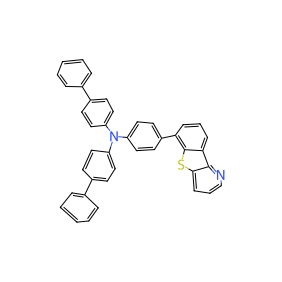 c1ccc(-c2ccc(N(c3ccc(-c4ccccc4)cc3)c3ccc(-c4cccc5c4sc4cccnc45)cc3)cc2)cc1